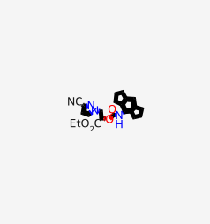 CCOC(=O)[C@@H](Cn1ccc(C#N)n1)OC(=O)Nc1c2c(cc3c1CCC3)CCC2